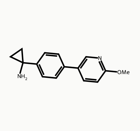 COc1ccc(-c2ccc(C3(N)CC3)cc2)cn1